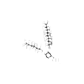 C=Cc1ccc(OCC(F)(F)C(F)(F)C(F)(F)C(F)(F)C(F)(F)C(F)F)c(OCC(F)(F)C(F)(F)C(F)(F)C(F)(F)C(F)(F)C(F)(F)C(F)(F)C(F)F)c1